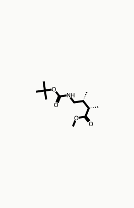 COC(=O)[C@@H](C)[C@@H](C)CNC(=O)OC(C)(C)C